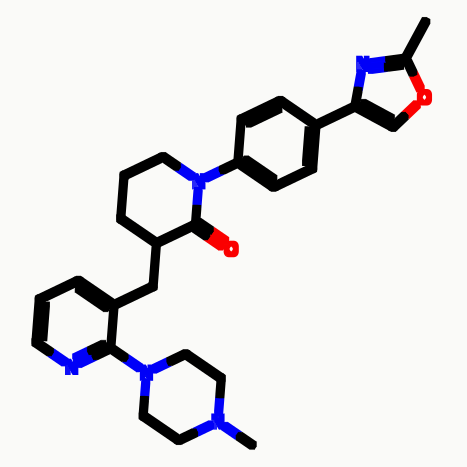 Cc1nc(-c2ccc(N3CCCC(Cc4cccnc4N4CCN(C)CC4)C3=O)cc2)co1